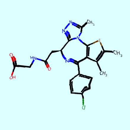 Cc1sc2c(c1C)C(c1ccc(Cl)cc1)=N[C@@H](CC(=O)NCC(=O)O)c1nnc(C)n1-2